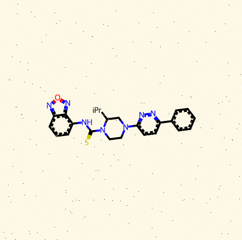 CC(C)C1CN(c2ccc(-c3ccccc3)nn2)CCN1C(=S)Nc1cccc2nonc12